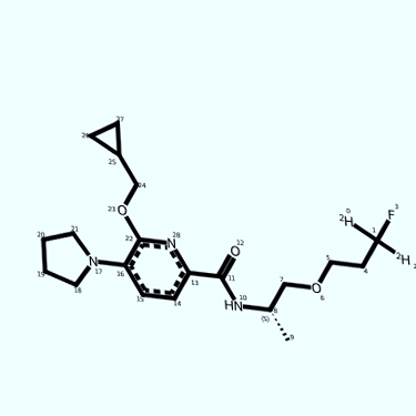 [2H]C([2H])(F)CCOC[C@H](C)NC(=O)c1ccc(N2CCCC2)c(OCC2CC2)n1